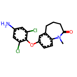 CN1C(=O)CCCc2cc(Oc3c(Cl)cc(N)cc3Cl)ccc21